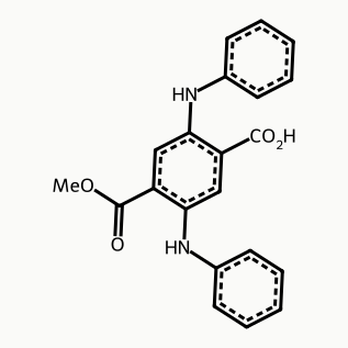 COC(=O)c1cc(Nc2ccccc2)c(C(=O)O)cc1Nc1ccccc1